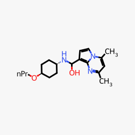 CCCO[C@H]1CC[C@H](NC(O)c2ccn3c(C)cc(C)nc23)CC1